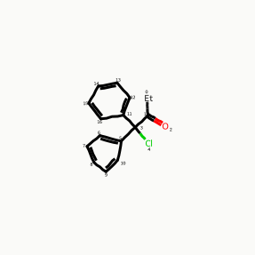 CCC(=O)C(Cl)(c1ccccc1)c1ccccc1